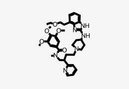 CCOCCc1cccc2[nH]c(NC3CCN(CCC(CN(C)C(=O)c4cc(OC)c(OC)c(OC)c4)c4ccccn4)CC3)nc12